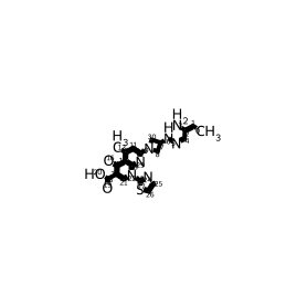 C/C=C(N)\C=N/NC1CN(c2cc(C)c3c(=O)c(C(=O)O)cn(-c4nccs4)c3n2)C1